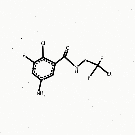 CCC(F)(F)CNC(=O)c1cc(N)cc(F)c1Cl